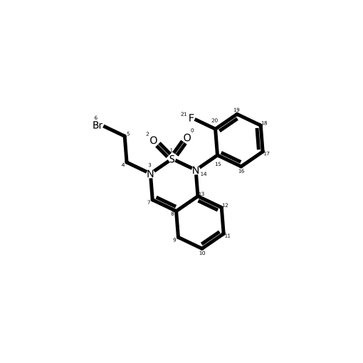 O=S1(=O)N(CCBr)C=C2CC=CC=C2N1c1ccccc1F